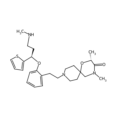 CNCC[C@@H](Oc1ccccc1CCN1CCC2(CC1)CN(C)C(=O)[C@@H](C)O2)c1cccs1